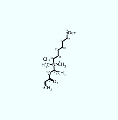 C=CC(=O)OC(C)[N+](C)(C)CCCCCCCCCCCCCCCC.[Cl-]